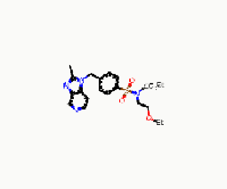 CCOCCN(C(=O)OCC)S(=O)(=O)c1ccc(Cn2c(C)nc3cnccc32)cc1